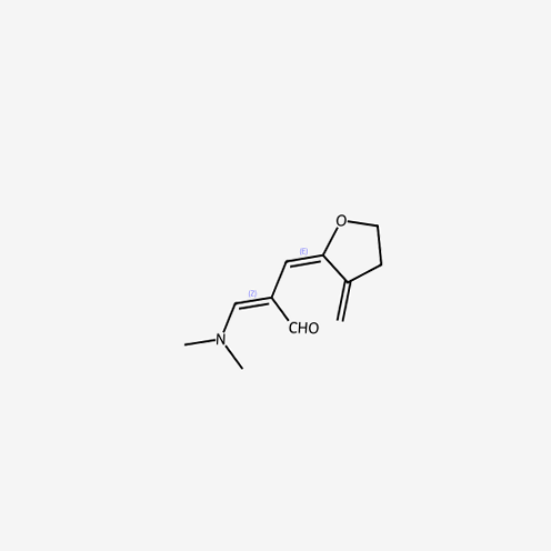 C=C1CCO/C1=C/C(C=O)=C/N(C)C